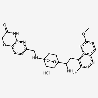 COc1ccc2ncc(F)c(CC(N)C34CCC(NCc5ccc6c(n5)NC(=O)CO6)(CC3)CO4)c2n1.Cl